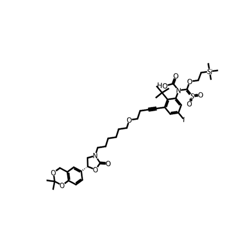 CC1(C)OCc2cc([C@@H]3CN(CCCCCCOCCC#Cc4cc(I)cc(N(C(=O)O)C(OCC[Si](C)(C)C)=S(=O)=O)c4C(C)(C)C)C(=O)O3)ccc2O1